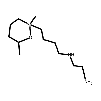 CC1CCC[Si](C)(CCCCNCCN)O1